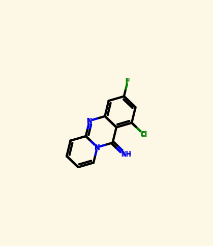 N=c1c2c(Cl)cc(F)cc2nc2ccccn12